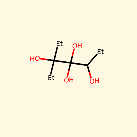 CCC(O)C(O)(O)C(O)(CC)CC